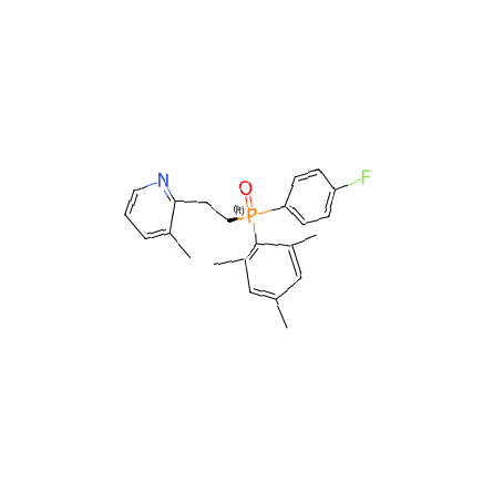 Cc1cc(C)c([P@@](=O)(CCc2ncccc2C)c2ccc(F)cc2)c(C)c1